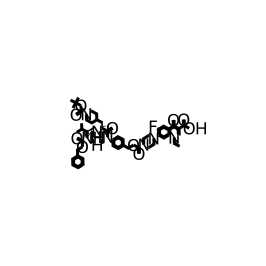 CCn1cc(C(=O)O)c(=O)c2cc(F)c(N3CCN(C(=O)OCc4ccc(NC(=O)[C@H](CC5CCN(C(=O)OC(C)(C)C)CC5)NC[C@@H](NC(=O)OCc5ccccc5)C(C)C)cc4)CC3)cc21